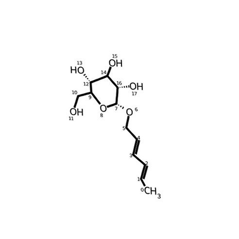 C/C=C/C=C/CO[C@@H]1OC(CO)[C@H](O)C(O)[C@@H]1O